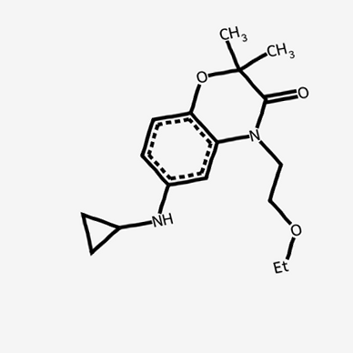 CCOCCN1C(=O)C(C)(C)Oc2ccc(NC3CC3)cc21